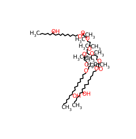 CCCCCCC(O)CCCCCCCCCCOCC(C)OCCC(C)(C)OC(COC(C)(C)CCOC(C)(C)C(=O)OCCCCCCCCCCC(O)CCCCCC)COC(C)(C)CCOC(C)(C)C(=O)OCCCCCCCCCCC(O)CCCCCC